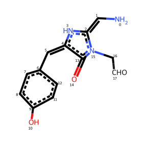 NC=c1[nH]c(=Cc2ccc(O)cc2)c(=O)n1CC=O